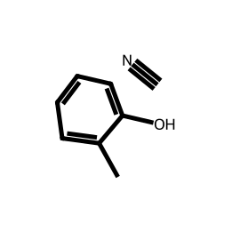 C#N.Cc1ccccc1O